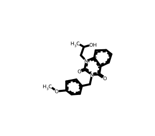 COc1ccc(Cn2c(=O)c3ccccc3n(CC(C)O)c2=O)cc1